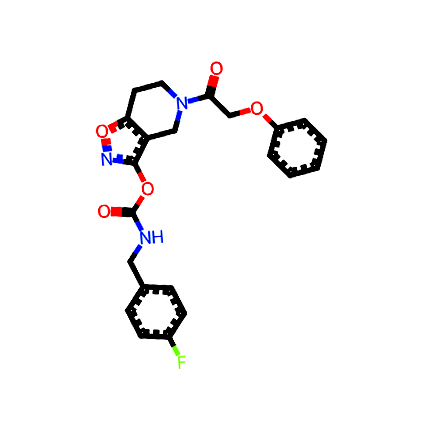 O=C(NCc1ccc(F)cc1)Oc1noc2c1CN(C(=O)COc1ccccc1)CC2